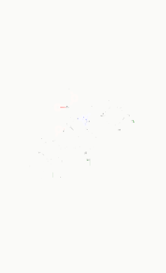 COC(=O)c1c(Oc2ccc(C(F)(F)F)cc2)c2cc(Cl)ccc2n1Cc1ccc(Cl)cc1